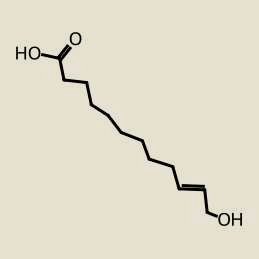 O=C(O)CCCCCCCCC=CCO